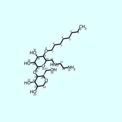 CCCCCCCCOC1C(CNCCN)OC(OC2[C@H](O)C(O)CO[C@@H]2CO)C(O)[C@H]1O